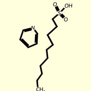 CCCCCCCCCCS(=O)(=O)O.c1ccncc1